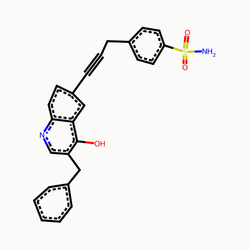 NS(=O)(=O)c1ccc(CC#Cc2ccc3ncc(Cc4ccccc4)c(O)c3c2)cc1